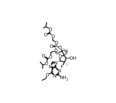 [2H]C([2H])(OP(=O)(OCOC(=O)OC(C)C)OCOC(=O)OC(C)C)[C@@]1(F)O[C@@H](n2cnc3c(OCC)nc(N)nc32)[C@](C)(F)[C@@H]1O